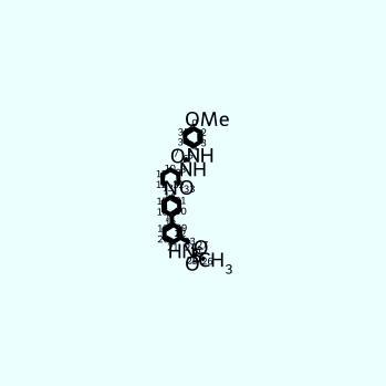 COc1ccc(NC(=O)N[C@@H]2CCCN(c3ccc(-c4cccc(CNS(C)(=O)=O)c4)cc3)C2=O)cc1